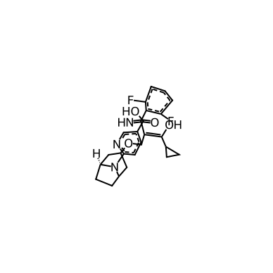 N=C(/C(COC1CC2CC[C@@H](C1)N2c1ccc(C(=O)O)cn1)=C(\O)C1CC1)c1c(F)cccc1F